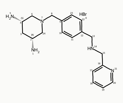 Br.N[C@@H]1C[C@H](N)CN(Cc2ccc(CNCc3ccccn3)cc2)C1